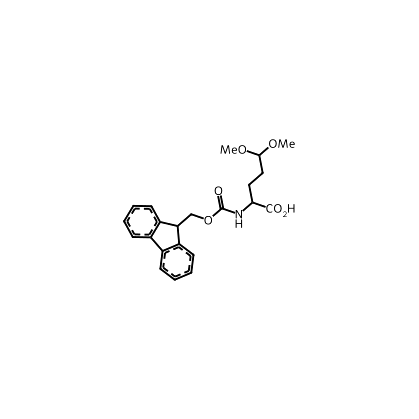 COC(CCC(NC(=O)OCC1c2ccccc2-c2ccccc21)C(=O)O)OC